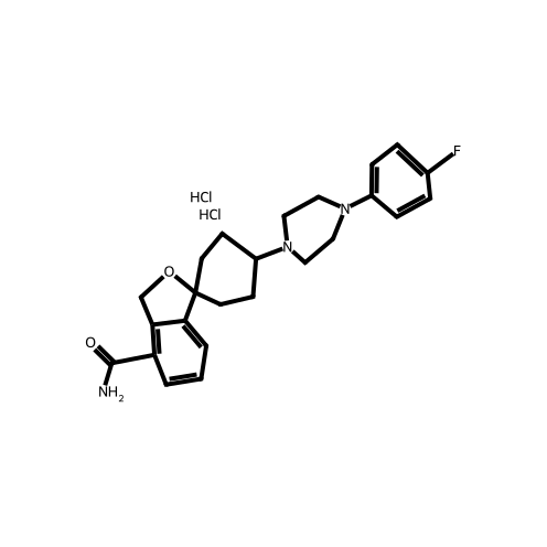 Cl.Cl.NC(=O)c1cccc2c1COC21CCC(N2CCN(c3ccc(F)cc3)CC2)CC1